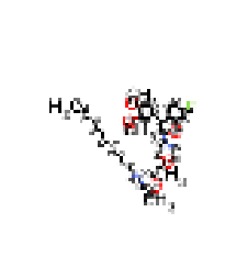 CCCCCCCCCCCCCN1CC(C)OC(C)C1.COc1ccc(C(=CC(=O)N2CCOCC2)c2ccc(F)cc2)cc1OC